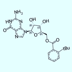 CC(C)(C)c1ccccc1C(=O)OC[C@H]1O[C@@H](n2cnc3c(=O)[nH]c(N)nc32)[C@H](O)[C@@H]1O